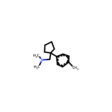 Cc1ccc(C2(CN(C)C)CCCC2)cc1